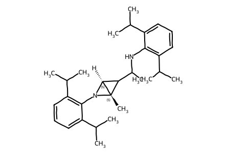 CC(C)c1cccc(C(C)C)c1NC(C)C1[C@@H]2N(c3c(C(C)C)cccc3C(C)C)[C@@]12C